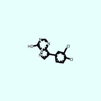 Oc1ncnc2c(-c3ccc(Cl)c(Cl)c3)cnn12